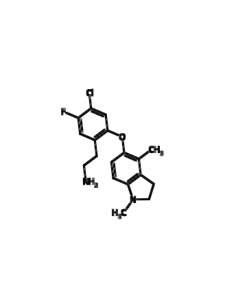 Cc1c(Oc2cc(Cl)c(F)cc2CCN)ccc2c1CCN2C